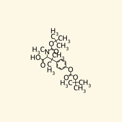 CN(C(=O)OC(C)(C)C)C(C(=O)O)C(C)(C)c1ccc(OC(=O)OC(C)(C)C)cc1